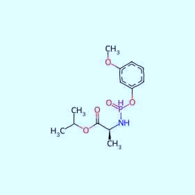 COc1cccc(O[PH](=O)N[C@@H](C)C(=O)OC(C)C)c1